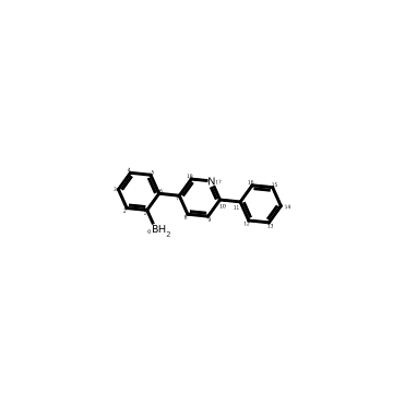 Bc1ccccc1-c1ccc(-c2ccccc2)nc1